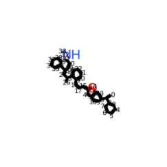 C=C(c1ccccc1)c1ccc2c(c1)O/C(=C/C=C\c1ccccc1C(C)/C=C(\C=C/CNC)c1ccccc1)C2